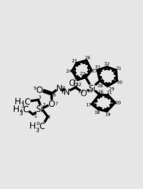 CC[Si](CC)(CC)OC(=O)N=NC(=O)O[Si](c1ccccc1)(c1ccccc1)c1ccccc1